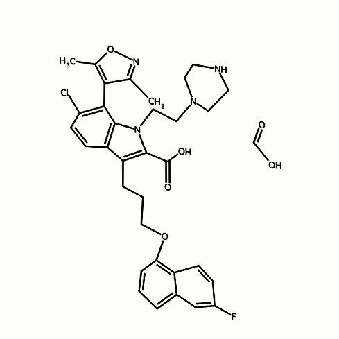 Cc1noc(C)c1-c1c(Cl)ccc2c(CCCOc3cccc4cc(F)ccc34)c(C(=O)O)n(CCN3CCNCC3)c12.O=CO